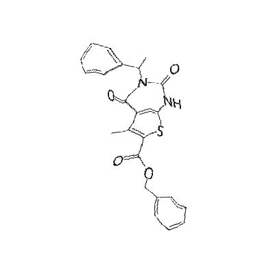 Cc1c(C(=O)OCc2ccccc2)sc2[nH]c(=O)n(C(C)c3ccccc3)c(=O)c12